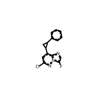 Fc1cnc2c(C3CC3c3ccccc3)cc(Cl)nn12